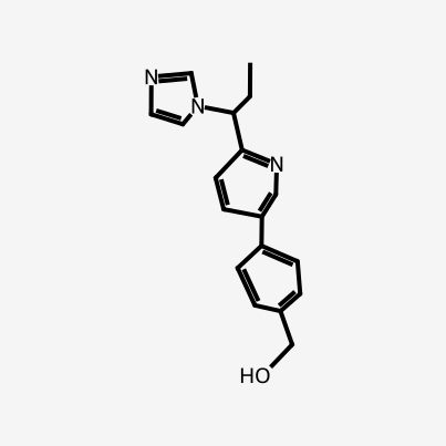 CCC(c1ccc(-c2ccc(CO)cc2)cn1)n1ccnc1